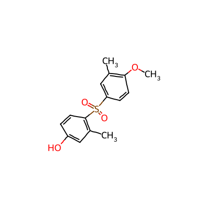 COc1ccc(S(=O)(=O)c2ccc(O)cc2C)cc1C